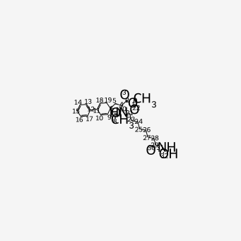 COC(=O)[C@H](CC1(OC)C=CC(c2ccccc2)=CC1)NC(=O)CCCCCCC(=O)NO